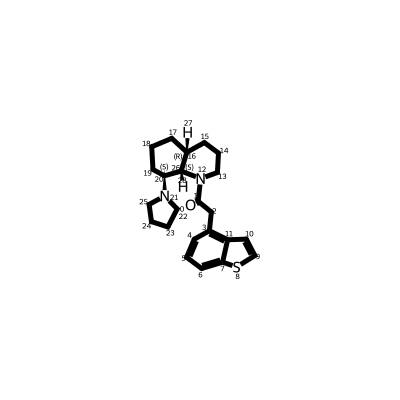 O=C(Cc1cccc2sccc12)N1CCC[C@H]2CCC[C@H](N3CCCC3)[C@H]21